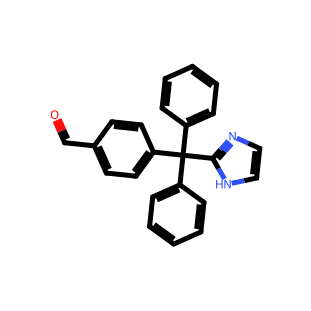 O=Cc1ccc(C(c2ccccc2)(c2ccccc2)c2ncc[nH]2)cc1